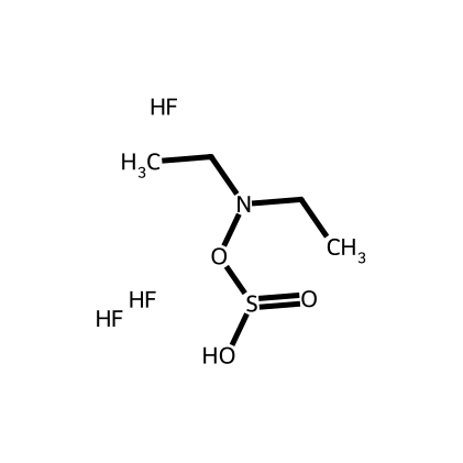 CCN(CC)OS(=O)O.F.F.F